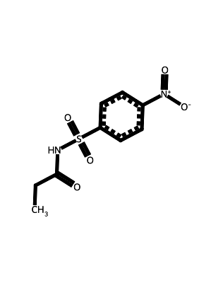 CCC(=O)NS(=O)(=O)c1ccc([N+](=O)[O-])cc1